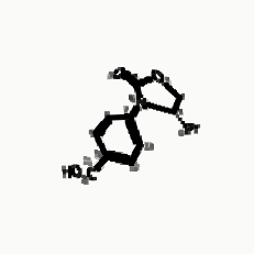 CC(C)[C@H]1COC(=O)N1c1ccc(C(=O)O)cc1